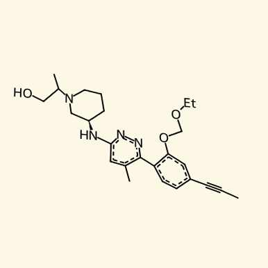 CC#Cc1ccc(-c2nnc(N[C@@H]3CCCN(C(C)CO)C3)cc2C)c(OCOCC)c1